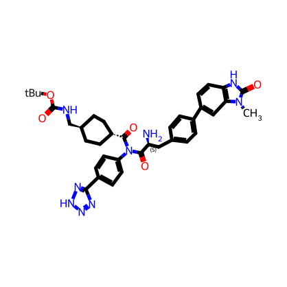 Cn1c(=O)[nH]c2ccc(-c3ccc(C[C@H](N)C(=O)N(c4ccc(-c5nn[nH]n5)cc4)C(=O)[C@H]4CC[C@H](CNC(=O)OC(C)(C)C)CC4)cc3)cc21